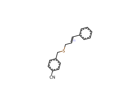 N#Cc1ccc(CSC/C=C/c2ccccc2)cc1